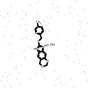 Cc1ccc(CSc2nc3cc4c(cc3[nH]2)COCO4)nc1.Cl.Cl